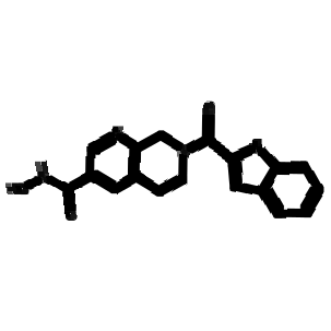 O=C(NO)c1cnc2c(c1)CCN(C(=O)c1cc3ccccc3s1)C2